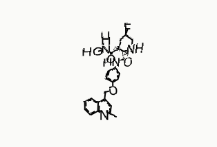 Cc1cc(COc2ccc(NC(=O)[C@H]3NCC(F)C[C@@H]3C(=O)NO)cc2)c2ccccc2n1